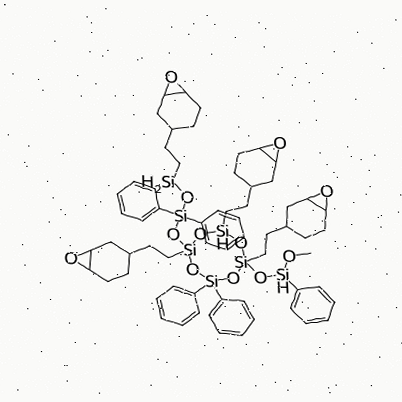 CO[SiH](O[Si]1(CCC2CCC3OC3C2)O[SiH](CCC2CCC3OC3C2)O[Si](CCC2CCC3OC3C2)(O[Si](O[SiH2]CCC2CCC3OC3C2)(c2ccccc2)c2ccccc2)O[Si](c2ccccc2)(c2ccccc2)O1)c1ccccc1